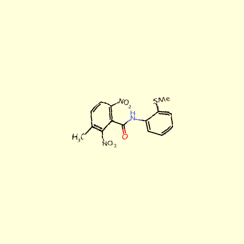 CSc1ccccc1NC(=O)c1c([N+](=O)[O-])ccc(C)c1[N+](=O)[O-]